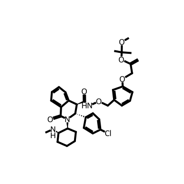 C=C(COc1cccc(CONC(=O)[C@@H]2c3ccccc3C(=O)N([C@H]3CCCC[C@@H]3NC)[C@H]2c2ccc(Cl)cc2)c1)OC(C)(C)OC